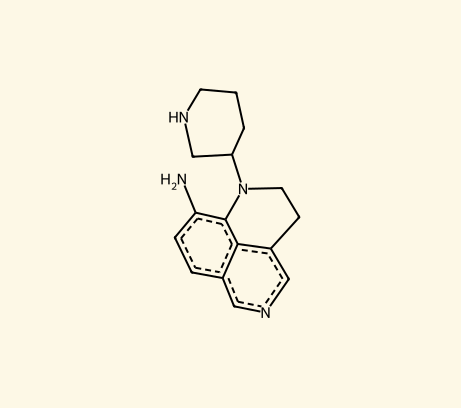 Nc1ccc2cncc3c2c1N(C1CCCNC1)CC3